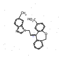 Cc1ccc2ncn(C/C=C3/c4ccccc4COc4ccc(C(=O)O)cc43)c2c1